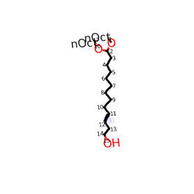 CCCCCCCCOC(CCCCCCCC/C=C/CCO)OCCCCCCCC